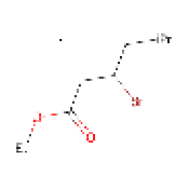 CCOC(=O)CC(Br)CC(C)C